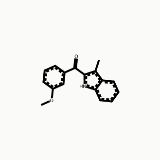 COc1cccc(C(=O)c2[nH]c3ccccc3c2C)c1